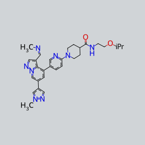 C/N=C\c1cnn2cc(-c3cnn(C)c3)cc(-c3ccc(N4CCC(C(=O)NCCOC(C)C)CC4)nc3)c12